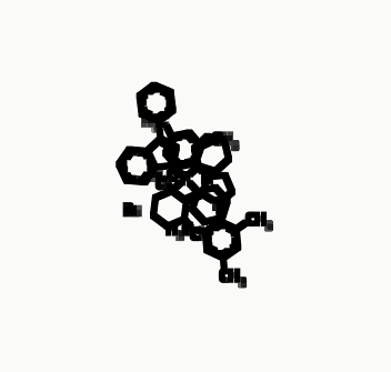 Cc1cc(C)c(N2CCN(c3c(C)cc(C)cc3C)C2=C2C(Cl)CCCC2(Cl)P(=C2C=C(c3ccccc3)c3ccccc32)(C2CCCCC2)C2CCCCC2)c(C)c1.[Ru]